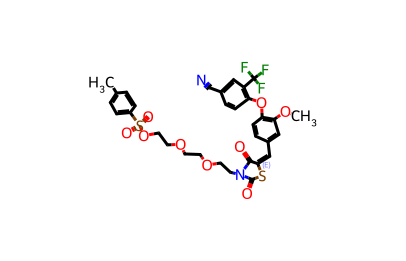 COc1cc(/C=C2/SC(=O)N(CCOCCOCCOS(=O)(=O)c3ccc(C)cc3)C2=O)ccc1Oc1ccc(C#N)cc1C(F)(F)F